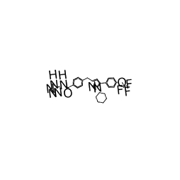 O=C(Nc1nnn[nH]1)c1ccc(Cc2cc(-c3ccc(OC(F)(F)F)cc3)n(C3CCCCC3)n2)cc1